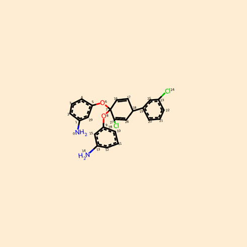 Nc1cccc(OC2(Oc3cccc(N)c3)C=CC(c3cccc(Cl)c3)C=C2Cl)c1